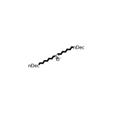 CCCCCCCCCCCCCCCCC[S+]([O-])CCCCCCCCCCCCCCCCC